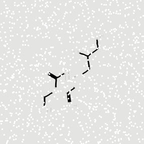 C=CC.CCOC(N)=O.OCC(O)CO